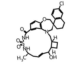 C[C@@H]1C/C=C/C(O)[C@@H]2CC[C@H]2CN2C[C@@]3(CCCc4cc(Cl)ccc43)COc3ccc(cc32)C(=O)NS(=O)(=O)N1